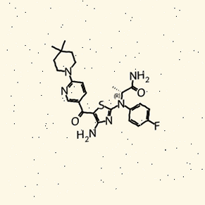 C[C@H](C(N)=O)N(c1ccc(F)cc1)c1nc(N)c(C(=O)c2ccc(N3CCC(C)(C)CC3)nc2)s1